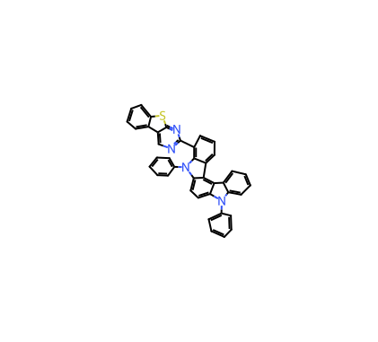 c1ccc(-n2c3ccccc3c3c4c5cccc(-c6ncc7c(n6)sc6ccccc67)c5n(-c5ccccc5)c4ccc32)cc1